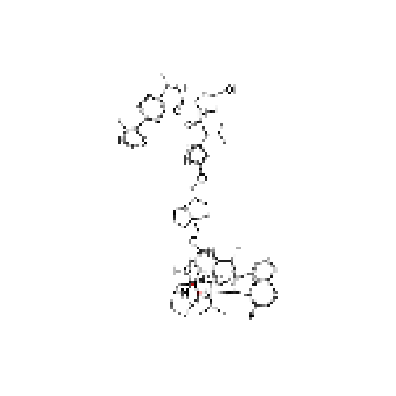 Cc1ncsc1-c1ccc([C@H](C)NC(=O)[C@@H]2C[C@@H](O)CN2C(=O)C(c2cc(OC[C@@H]3CC[C@]4(COc5nc(N6CC7CCC(C6)N7C(=O)O)c6cnc(-c7cccc8ccc(F)c(C#C[Si](C(C)C)(C(C)C)C(C)C)c78)c(F)c6n5)CCCN34)no2)C(C)C)cc1